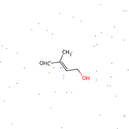 C/C([C]=O)=C\CO